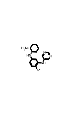 CC(=O)c1ccc(N[C@@H]2CCCC[C@@H]2N)cc1Nc1cncnc1